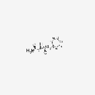 NC(=O)CNC(=O)OCC1CCCCCC1